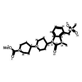 COC(=O)N1CCC(N2CCC(n3c(=O)n(C)c4c(CS(C)(=O)=O)cccc43)CC2)CC1